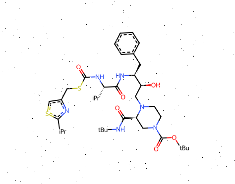 CC(C)c1nc(CSC(=O)N[C@H](C(=O)N[C@@H](Cc2ccccc2)[C@@H](O)CN2CCN(C(=O)OC(C)(C)C)C[C@H]2C(=O)NC(C)(C)C)C(C)C)cs1